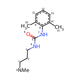 CNCCCNC(=O)Nc1c(C)cccc1C